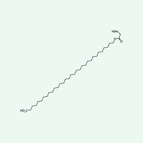 CCCCCCCCCCCC(=O)OCCCCCCCCCCCCCCCCCCCCCCCCCCCCCCCC(=O)O